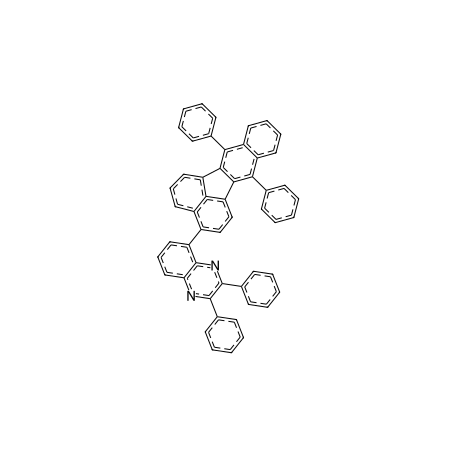 c1ccc(-c2nc3cccc(-c4ccc5c6c(cccc46)-c4c-5c(-c5ccccc5)c5ccccc5c4-c4ccccc4)c3nc2-c2ccccc2)cc1